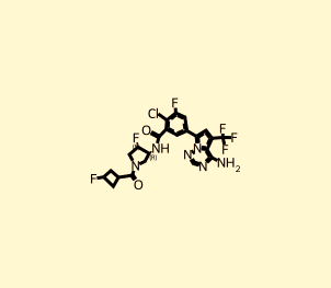 Nc1ncnn2c(-c3cc(F)c(Cl)c(C(=O)N[C@@H]4CN(C(=O)C5CC(F)C5)C[C@@H]4F)c3)cc(C(F)(F)F)c12